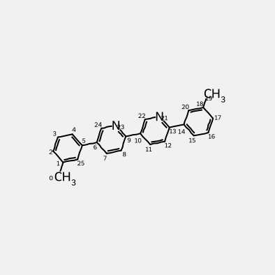 Cc1cccc(-c2ccc(-c3ccc(-c4cccc(C)c4)nc3)nc2)c1